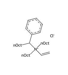 C=C[N+](CCCCCCCC)(CCCCCCCC)C(CCCCCCCC)c1ccccc1.[Cl-]